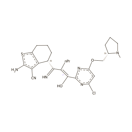 CCC/C(C(=N)[C@H]1CCCc2sc(N)c(C#N)c21)=C(/O)c1nc(Cl)cc(OC[C@@H]2CCCN2C)n1